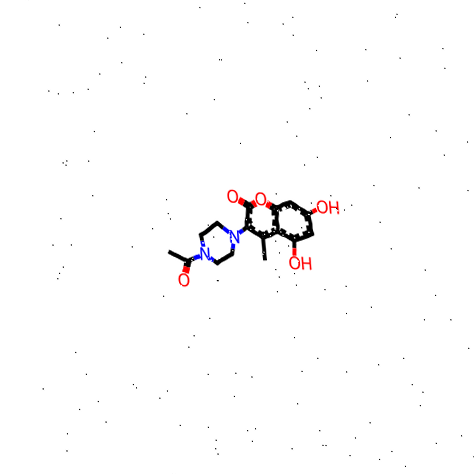 CC(=O)N1CCN(c2c(C)c3c(O)cc(O)cc3oc2=O)CC1